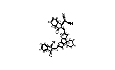 N#CC(C#N)=C1/C(=C/c2cc3c(s2)-c2sc(C=C4C(=O)c5ccccc5C4=O)cc2C32CCCCC2)C(=O)c2ccccc21